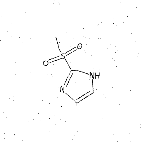 CS(=O)(=O)c1n[c]c[nH]1